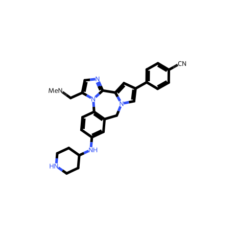 CNCc1cnc2n1-c1ccc(NC3CCNCC3)cc1Cn1cc(-c3ccc(C#N)cc3)cc1-2